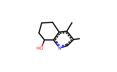 Cc1cnc2c(c1C)CCCC2O